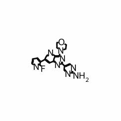 Nc1ncc(-c2nc(N3CCOCC3)c3ncc(-c4cccnc4F)cc3n2)cn1